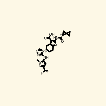 Cn1nc(C(F)F)cc1Nc1nncn1[C@H]1CCc2sc(NC(=O)[C@H]3CC34CC4)c(C(=O)O)c2C1